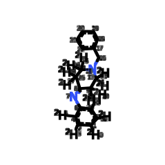 [2H]c1c([2H])c([2H])c(N=C2C([2H])([2H])C([2H])([2H])N(Cc3ccccc3)C([2H])([2H])C2([2H])[2H])c([2H])c1[2H]